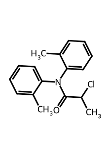 Cc1ccccc1N(C(=O)C(C)Cl)c1ccccc1C